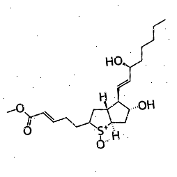 CCCCC[C@H](O)/C=C/[C@@H]1[C@H]2CC(CC/C=C/C(=O)OC)[S+]([O-])[C@@H]2C[C@H]1O